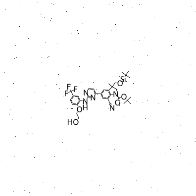 CC(C)(C)OC(=O)N1CC(C)(CO[Si](C)(C)C(C)(C)C)c2cc(-c3ccnc(Nc4cc(C(F)(F)F)ccc4OCCO)n3)cc(C#N)c21